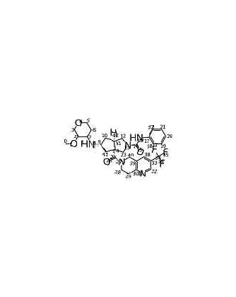 COC1COCCC1N[C@@H]1C[C@H]2CN(C(=O)Nc3ccccc3)C[C@@]2(C(=O)N2CCc3ncc(C(F)(F)F)cc3C2)C1